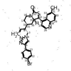 C=C[C@@H](Cn1cc(-c2ccc(Br)cc2)nn1)[C@H]1CCN2C(=O)S[C@@H](c3ccnc4ccc(C)cc34)[C@@H]2C1